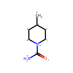 [CH2]C1CCN(C(N)=O)CC1